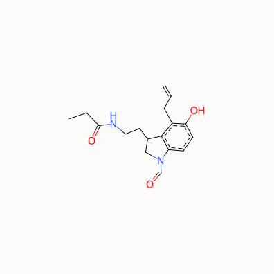 C=CCc1c(O)ccc2c1C(CCNC(=O)CC)CN2C=O